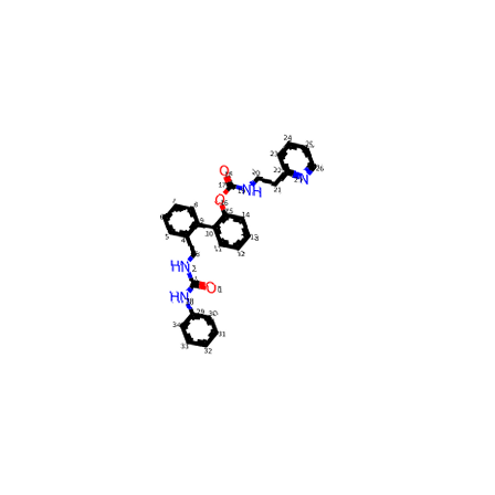 O=C(NCc1ccccc1-c1ccccc1OC(=O)NCCc1ccccn1)Nc1ccccc1